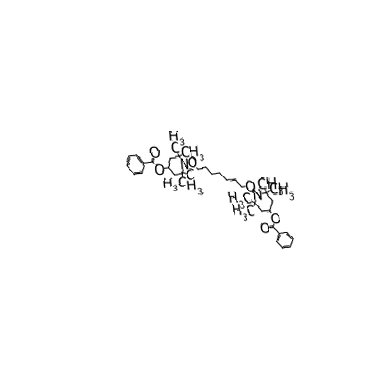 CC1(C)CC(OC(=O)c2ccccc2)CC(C)(C)N1OCCCCCCCON1C(C)(C)CC(OC(=O)c2ccccc2)CC1(C)C